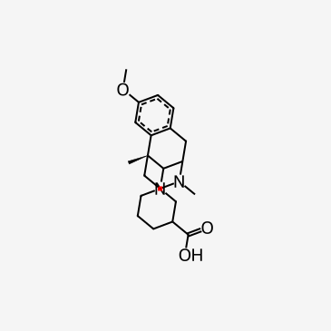 COc1ccc2c(c1)[C@@]1(C)CCN(C)C(C2)C1N1CCCC(C(=O)O)C1